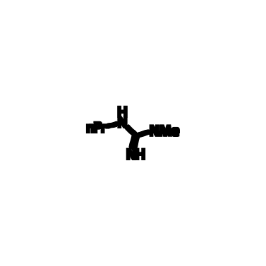 [CH2]CCNC(=N)NC